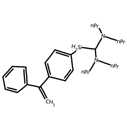 C=C(c1ccccc1)c1ccc([SiH2]C(N(CCC)CCC)N(CCC)CCC)cc1